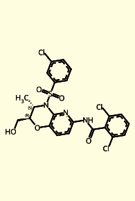 C[C@H]1[C@H](CO)Oc2ccc(NC(=O)c3c(Cl)cccc3Cl)nc2N1S(=O)(=O)c1cccc(Cl)c1